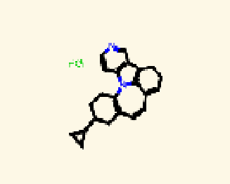 C1=CC2=C(CCC(C3CC3)C2)n2c3c(c4cnccc42)CCC=C13.Cl